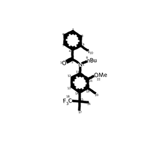 CCCCN(C(=O)c1ccccc1I)c1ccc(C(C)(C)C(F)(F)F)c(C)c1OC